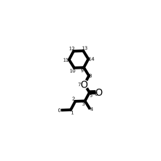 CCCC(C)C(=O)OCC1CCCCC1